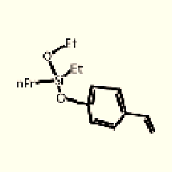 C=Cc1ccc(O[Si](CC)(CCC)OCC)cc1